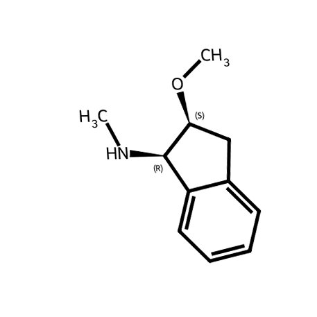 CN[C@@H]1c2ccccc2C[C@@H]1OC